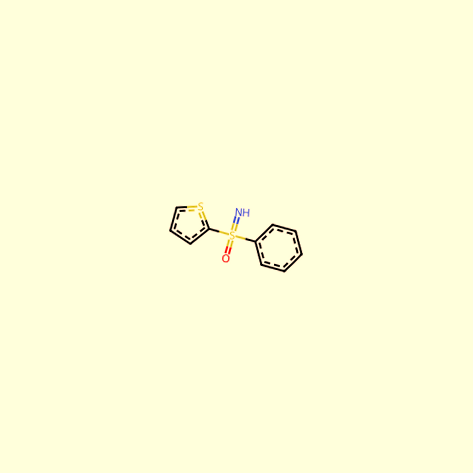 N=S(=O)(c1ccccc1)c1cccs1